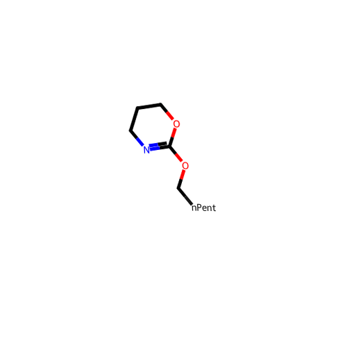 CCCCCCOC1=NCCCO1